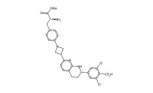 COC(=O)[C@@H](N)Cc1ccc(N2CC(c3ccc4c(n3)NC(c3cc(Cl)c(C(=O)O)c(Cl)c3)CC4)C2)cc1